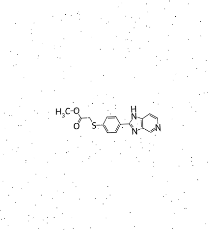 COC(=O)CSc1ccc(-c2nc3cnccc3[nH]2)cc1